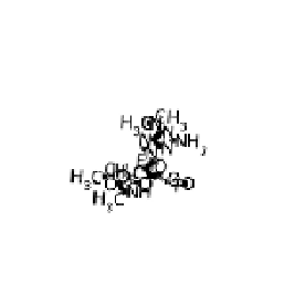 CC(C)OC(=O)[C@H](C)NCO[C@@H]1[C@@H](COP=O)O[C@@H](n2cnc3c(N(C)C)nc(N)nc32)[C@]1(C)F